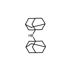 B(C12CC3CC(CC(C3)C1)C2)C12CC3CC(CC(C3)C1)C2